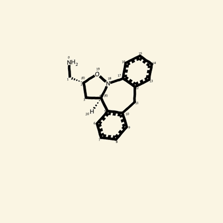 NC[C@H]1C[C@@H]2c3ccccc3Cc3ccccc3N2O1